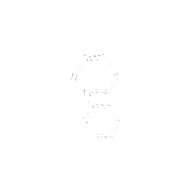 c1ccnnc1.c1cnnnc1